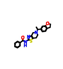 CC(c1ccc2c(c1)OCC2)N1CCc2sc(NC(=O)c3ccccc3)nc2C1